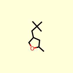 CC1CC(CC(C)(C)C)CO1